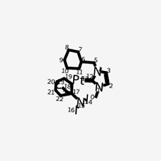 Cn1ccn(CC2CCCCC2)[c]1=[Pt].IN(I)C12CCC(CC1)CC2